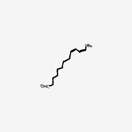 CCCC/C=C\C=C/CCCCCCCC=O